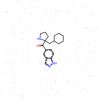 O=C(c1ccc2[nH]ncc2c1)C1(CC2CCCCC2)CCCN1